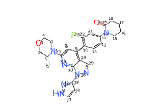 C[C@@H]1COCCN1c1cc(-c2ccc(N3CCCCC3=O)cc2F)c2cnn(-c3cc[nH]n3)c2n1